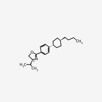 CCCC[C@H]1CC[C@H](c2ccc(C3=N[C@@H](C(C)C)CO3)cc2)CC1